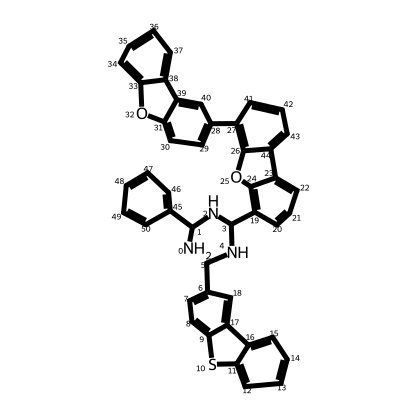 NC(NC(NCc1ccc2sc3ccccc3c2c1)c1cccc2c1oc1c(-c3ccc4oc5ccccc5c4c3)cccc12)c1ccccc1